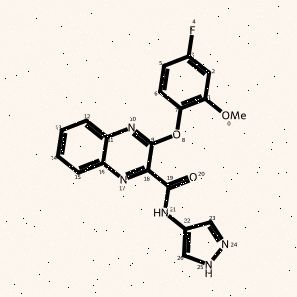 COc1cc(F)ccc1Oc1nc2ccccc2nc1C(=O)Nc1cn[nH]c1